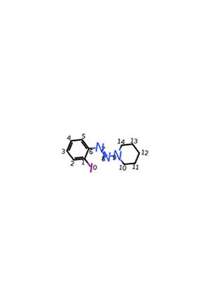 Ic1ccccc1N=NN1CCCCC1